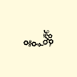 C=CC(=O)N[C@H]1CCC[C@@H]1C(C#N)(c1cccc(F)c1)C1CCN(CC2CN(c3ccc(S(=O)(=O)c4ccccc4)cc3)C2)CC1